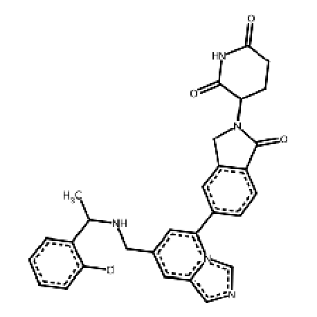 CC(NCc1cc(-c2ccc3c(c2)CN(C2CCC(=O)NC2=O)C3=O)n2cncc2c1)c1ccccc1Cl